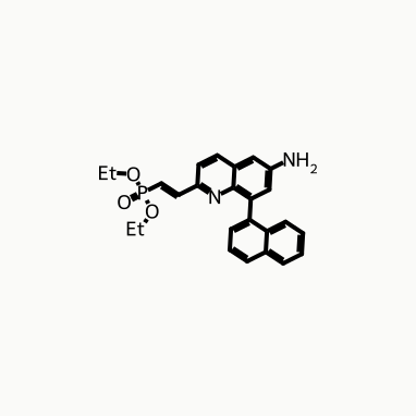 CCOP(=O)(/C=C/c1ccc2cc(N)cc(-c3cccc4ccccc34)c2n1)OCC